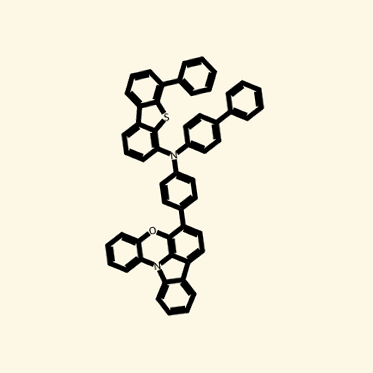 c1ccc(-c2ccc(N(c3ccc(-c4ccc5c6ccccc6n6c5c4Oc4ccccc4-6)cc3)c3cccc4c3sc3c(-c5ccccc5)cccc34)cc2)cc1